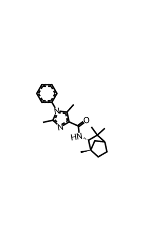 Cc1nc(C(=O)N[C@@H]2C(C)(C)C3CC[C@@]2(C)C3)c(C)n1-c1ccccc1